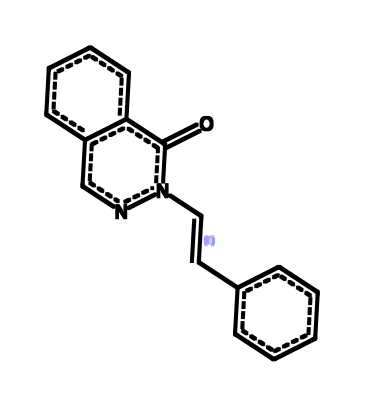 O=c1c2ccccc2cnn1/C=C/c1ccccc1